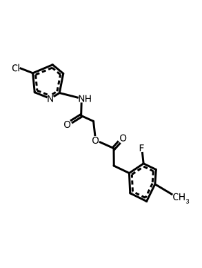 Cc1ccc(CC(=O)OCC(=O)Nc2ccc(Cl)cn2)c(F)c1